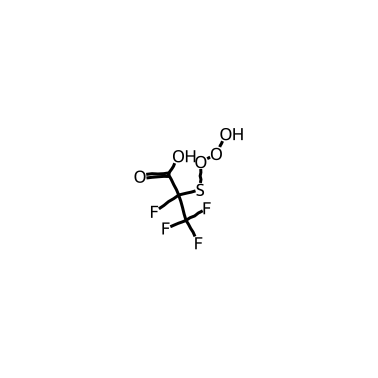 O=C(O)C(F)(SOOO)C(F)(F)F